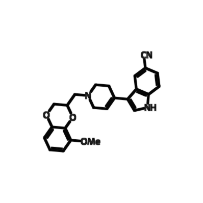 COc1cccc2c1OC(CN1CC=C(c3c[nH]c4ccc(C#N)cc34)CC1)CO2